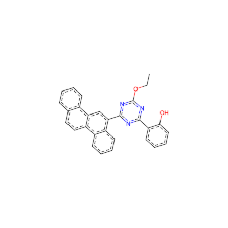 CCOc1nc(-c2ccccc2O)nc(-c2cc3c4ccccc4ccc3c3ccccc23)n1